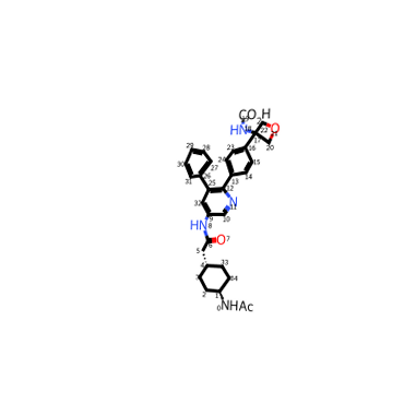 CC(=O)N[C@H]1CC[C@H](CC(=O)Nc2cnc(-c3ccc(C4(NC(=O)O)COC4)cc3)c(-c3ccccc3)c2)CC1